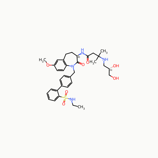 CCNS(=O)(=O)c1ccccc1-c1ccc(CN2C(=O)[C@H](NC(=O)CC(C)(C)NC[C@H](O)CO)CCc3cc(OC)ccc32)cc1